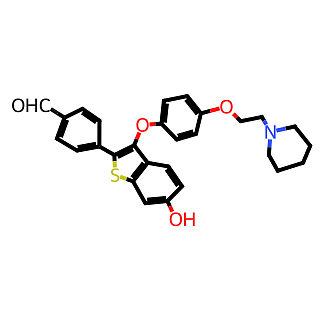 O=Cc1ccc(-c2sc3cc(O)ccc3c2Oc2ccc(OCCN3CCCCC3)cc2)cc1